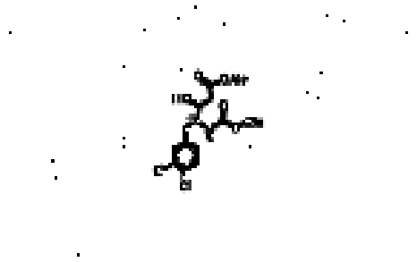 COC(=O)CC(O)[C@@H](Cc1ccc(Cl)c(Cl)c1)N(C)C(=O)OC(C)(C)C